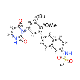 COc1c(-c2ccc3cc(NS(C)(=O)=O)ccc3c2)cc(-n2c(=O)cc[nH]c2=O)cc1C(C)(C)C